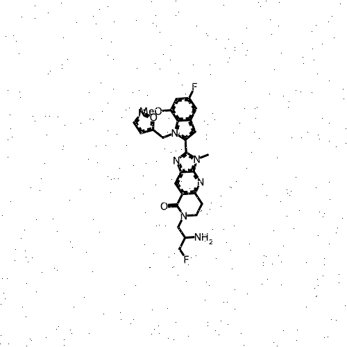 COc1cc(F)cc2cc(-c3nc4cc5c(nc4n3C)CCN(CC(N)CF)C5=O)n(Cc3ccno3)c12